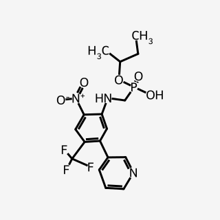 CCC(C)OP(=O)(O)CNc1cc(-c2cccnc2)c(C(F)(F)F)cc1[N+](=O)[O-]